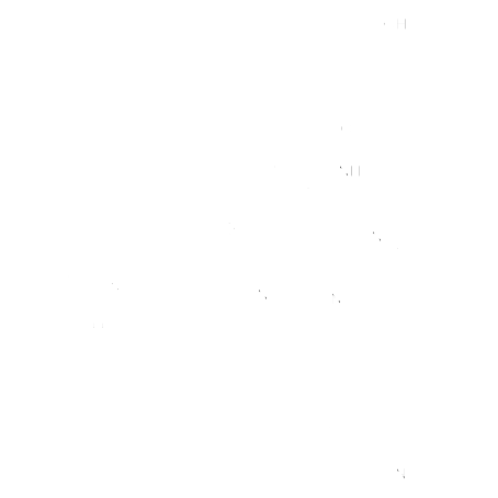 CC(C)(O)CONC(=O)c1c(N)nc(-c2cccc(C#N)c2)nc1OC1CCS(=O)(=O)CC1